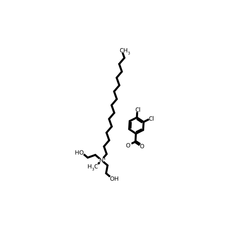 CCCCCCCCCCCCCCCC[N+](C)(CCO)CCO.O=C([O-])c1ccc(Cl)c(Cl)c1